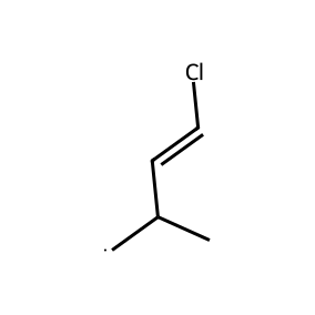 [CH2]C(C)C=CCl